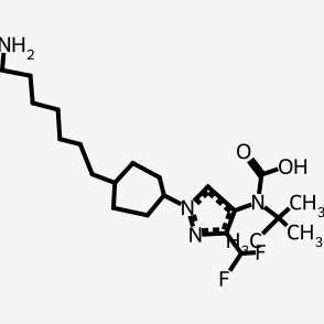 CC(C)(C)N(C(=O)O)c1cn(C2CCC(CCCCCCCN)CC2)nc1C(F)F